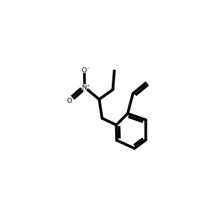 C=Cc1ccccc1CC(CC)[N+](=O)[O-]